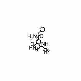 Cn1cc(-c2[nH]c3cc(N(N)C(=O)CC4CCCCC4)cc4c3c2C=NNC4=O)cn1